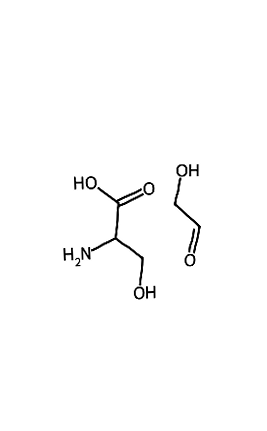 NC(CO)C(=O)O.O=CCO